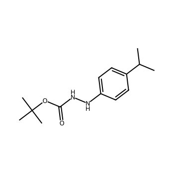 CC(C)c1ccc(NNC(=O)OC(C)(C)C)cc1